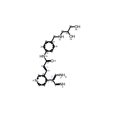 N=C/C(=C\N)c1ccncc1/C=C/C(=O)Nc1ccc(CNCC(O)CO)cc1